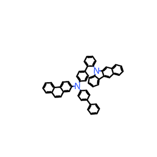 c1ccc(-c2ccc(N(c3ccc(-c4ccccc4-n4c5ccccc5c5cc6ccccc6cc54)cc3)c3ccc4c(ccc5ccccc54)c3)cc2)cc1